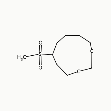 CS(=O)(=O)C1CCCCCCCCC1